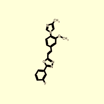 COc1cc(C=Cc2nnc(-c3cccc(F)c3)o2)ccc1-n1cnc(C)c1